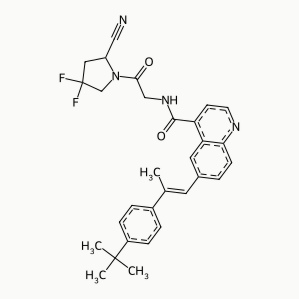 CC(=Cc1ccc2nccc(C(=O)NCC(=O)N3CC(F)(F)CC3C#N)c2c1)c1ccc(C(C)(C)C)cc1